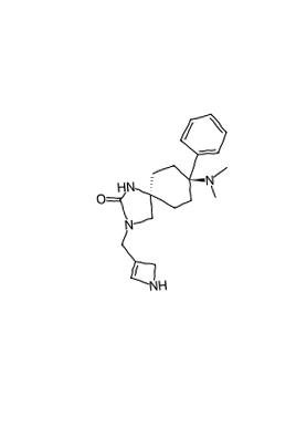 CN(C)[C@]1(c2ccccc2)CC[C@]2(CC1)CN(CC1=CNC1)C(=O)N2